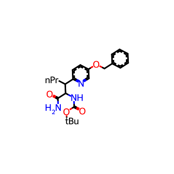 CCCC(c1ccc(OCc2ccccc2)cn1)C(NC(=O)OC(C)(C)C)C(N)=O